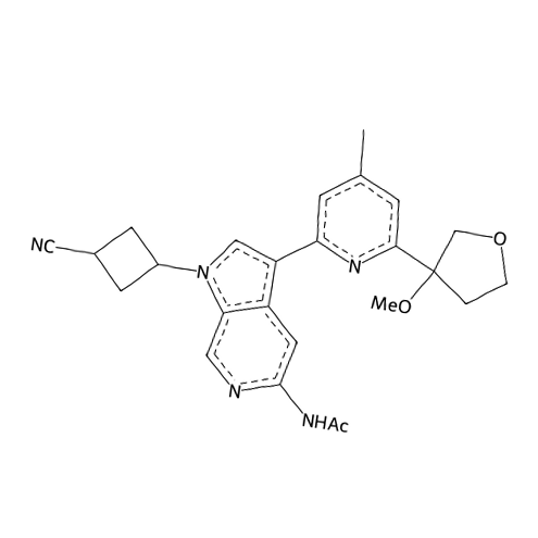 COC1(c2cc(C)cc(-c3cn(C4CC(C#N)C4)c4cnc(NC(C)=O)cc34)n2)CCOC1